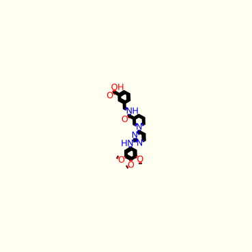 COc1cc(Nc2nccc(N3CCCC(C(=O)NCc4cccc(C(=O)O)c4)C3)n2)cc(OC)c1OC